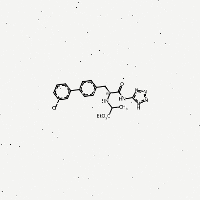 CCOC(=O)C(C)N[C@@H](Cc1ccc(-c2cccc(Cl)c2)cc1)C(=O)Nc1nnn[nH]1